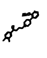 COc1[c]cccc1C1CCN(CCCC(=O)c2ccc(C)c(C)c2)CC1